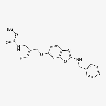 CC(C)(C)OC(=O)NCC(=CF)COc1ccc2nc(NCc3ccncc3)oc2c1